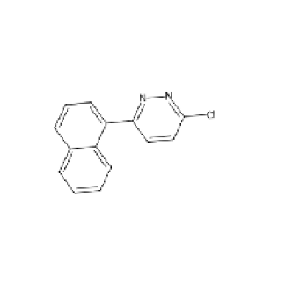 Clc1ccc(-c2cccc3ccccc23)nn1